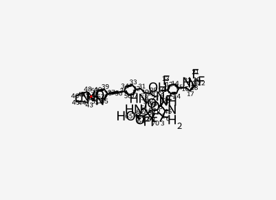 CC(C)(C)C(N)C(=O)NN(Cc1c(F)cc(-c2ccn(C(F)F)n2)cc1F)CC(O)C(Cc1ccc(C#Cc2ccc(N3CC4CCC(C3)N4C3COC3)nc2)cc1)NC(=O)C(NC(=O)O)C(C)(C)C(F)(F)F